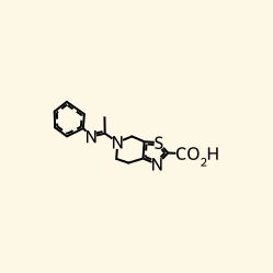 CC(=Nc1ccccc1)N1CCc2nc(C(=O)O)sc2C1